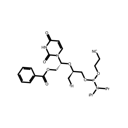 [2H]C[C@H](COP(OCCC#N)N(C(C)C)C(C)C)O[C@H](COC(=O)c1ccccc1)n1ccc(=O)[nH]c1=O